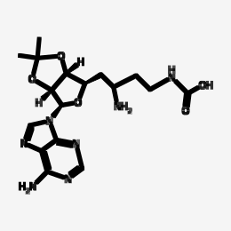 CC1(C)O[C@@H]2[C@H](O1)[C@@H](CC(N)CCNC(=O)O)O[C@H]2n1cnc2c(N)ncnc21